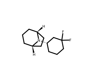 FC1(F)CCC[C@H](N2[C@@H]3CCC[C@H]2CC3)C1